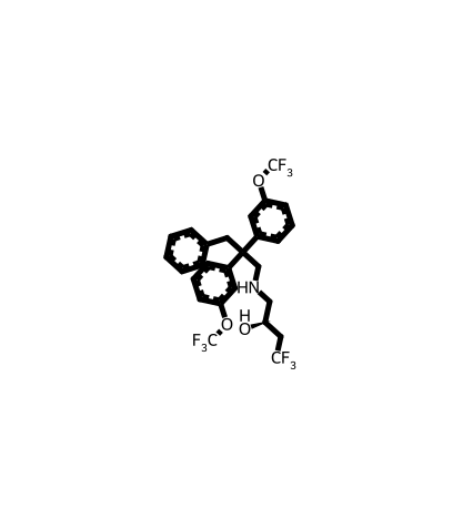 O[C@@H](CNCC(Cc1ccccc1)(c1cccc(OC(F)(F)F)c1)c1cccc(OC(F)(F)F)c1)CC(F)(F)F